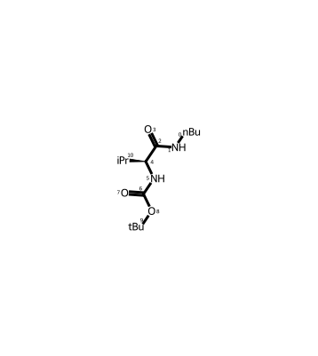 CCCCNC(=O)[C@@H](NC(=O)OC(C)(C)C)C(C)C